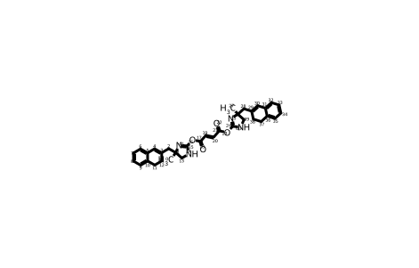 CC1(CC2=Cc3ccccc3CC2)CNC(OC(=O)/C=C/C(=O)OC2=NC(C)(CC3=Cc4ccccc4CC3)CN2)=N1